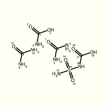 NC(=O)O.NC(N)=O.NC(N)=O.NS(=O)(=O)NC(=O)O